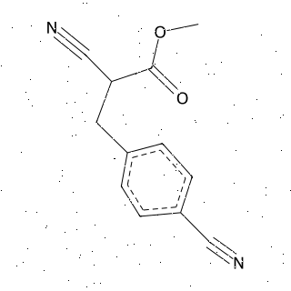 COC(=O)C(C#N)Cc1ccc(C#N)cc1